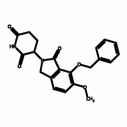 COc1ccc2c(c1OCc1ccccc1)C(=O)N(C1CCC(=O)NC1=O)C2